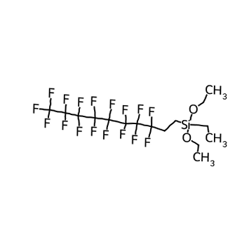 CCO[Si](CC)(CCC(F)(F)C(F)(F)C(F)(F)C(F)(F)C(F)(F)C(F)(F)C(F)(F)C(F)(F)F)OCC